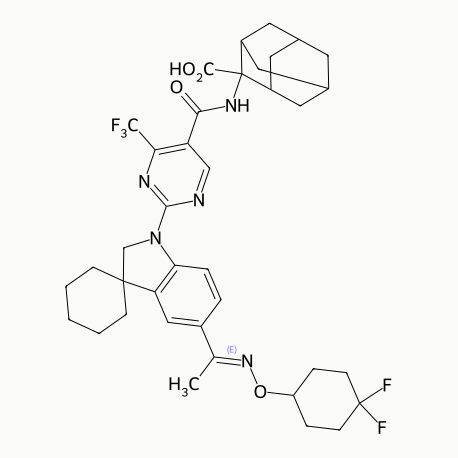 C/C(=N\OC1CCC(F)(F)CC1)c1ccc2c(c1)C1(CCCCC1)CN2c1ncc(C(=O)NC2(C(=O)O)C3CC4CC(C3)CC2C4)c(C(F)(F)F)n1